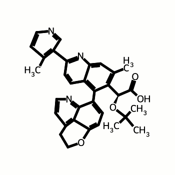 Cc1ccncc1-c1ccc2c(-c3ccc4c5c(ccnc35)CCO4)c([C@H](OC(C)(C)C)C(=O)O)c(C)cc2n1